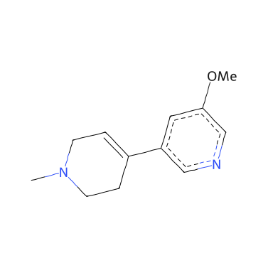 COc1cncc(C2=CCN(C)CC2)c1